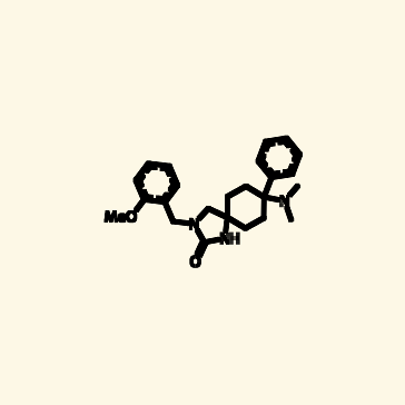 COc1ccccc1CN1CC2(CCC(c3ccccc3)(N(C)C)CC2)NC1=O